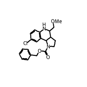 COCC1Nc2ccc(Cl)cc2C2C1CCN2C(=O)OCc1ccccc1